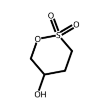 O=S1(=O)CCC(O)CO1